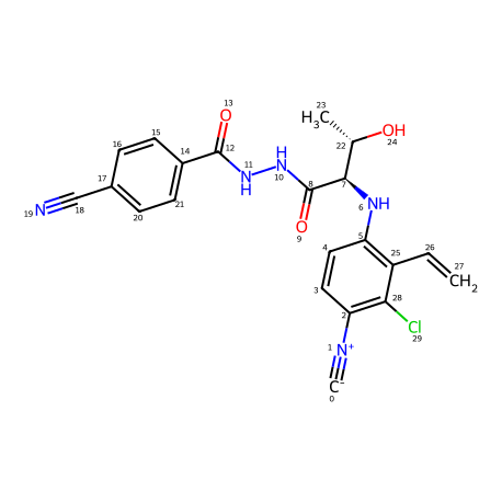 [C-]#[N+]c1ccc(N[C@@H](C(=O)NNC(=O)c2ccc(C#N)cc2)[C@H](C)O)c(C=C)c1Cl